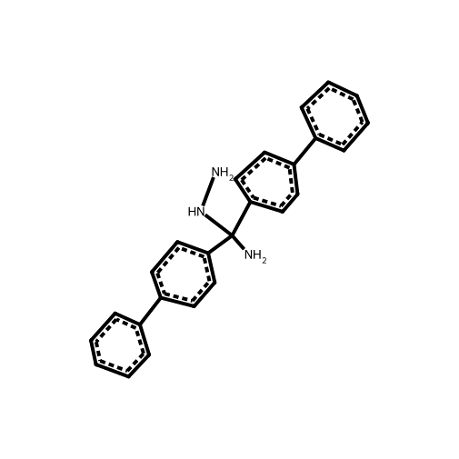 NNC(N)(c1ccc(-c2ccccc2)cc1)c1ccc(-c2ccccc2)cc1